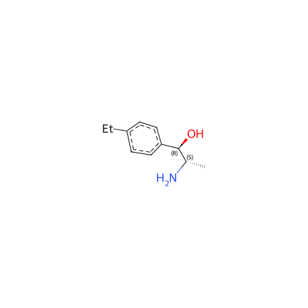 CCc1ccc([C@@H](O)[C@H](C)N)cc1